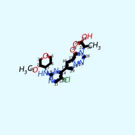 CO[C@@H]1COCC[C@H]1Nc1ncc(Cl)c(-c2cc3c(=O)n(C(C)C(=O)O)cnn3c2)n1